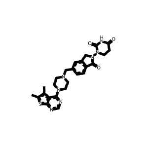 Cc1sc2ncnc(N3CCN(Cc4ccc5c(c4)CN(N4CCC(=O)NC4=O)C5=O)CC3)c2c1C